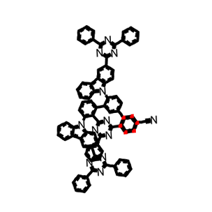 N#Cc1cccc(-c2ccc(-n3c4ccccc4c4cc(-c5nc(-c6ccccc6)nc(-c6ccccc6)n5)ccc43)c(-c3cccc(-n4c5ccccc5c5cc(-c6nc(-c7ccccc7)nc(-c7ccccc7)n6)ccc54)c3-c3nc(-c4ccccc4)nc(-c4ccccc4)n3)c2)c1